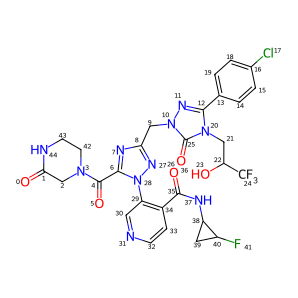 O=C1CN(C(=O)c2nc(Cn3nc(-c4ccc(Cl)cc4)n(CC(O)C(F)(F)F)c3=O)nn2-c2cnccc2C(=O)NC2CC2F)CCN1